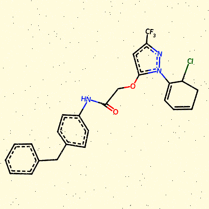 O=C(COc1cc(C(F)(F)F)nn1C1=CC=CCC1Cl)Nc1ccc(Cc2ccccc2)cc1